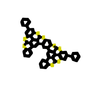 c1ccc(-c2cc3c4c(c2)SB2Sc5cc6c(cc5-c5cc7c(c-4c52)B(Sc2ccccc2-7)S3)-c2cc3c4c5c2B(S6)Sc2cc(-c6ccccc6)cc(c2-5)SB4Sc2ccccc2-3)cc1